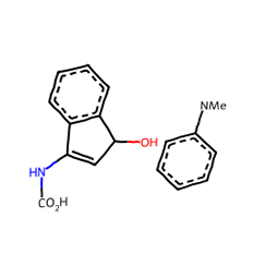 CNc1ccccc1.O=C(O)NC1=CC(O)c2ccccc21